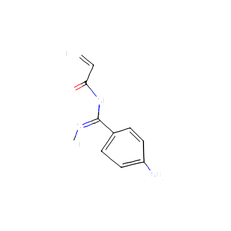 C=CC(=O)N/C(=N/C)c1ccc(N)cc1